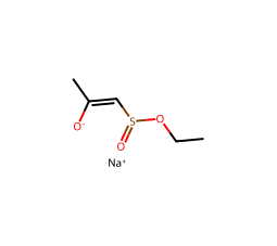 CCOS(=O)C=C(C)[O-].[Na+]